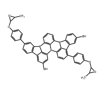 CC1OC1Oc1ccc(-c2ccc3c(c2)B2c4cccc5c4N(c4cc(C(C)(C)C)cc-3c42)c2ccc(-c3ccc(OC4OC4C)cc3)c3c2B5c2ccc(C(C)(C)C)cc2-3)cc1